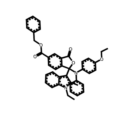 CCOc1ccc(N(c2ccccc2)C2(c3c(C)n(CC)c4ccccc34)OC(=O)c3cc(C(=O)OCc4ccccc4)ccc32)cc1